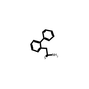 NC(=S)Cc1ccccc1-c1ccccc1